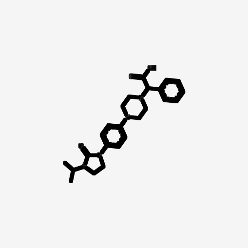 CC(C)N1CCN(c2ccc(N3CCN(C(C(=O)O)c4ccccc4)CC3)cc2)C1=O